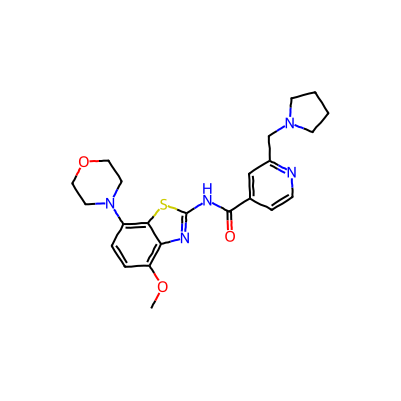 COc1ccc(N2CCOCC2)c2sc(NC(=O)c3ccnc(CN4CCCC4)c3)nc12